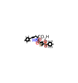 O=C(O)C(CC#Cc1ccccc1)NS(=O)(=O)c1cc(S(=O)(=O)c2ccccc2)cs1